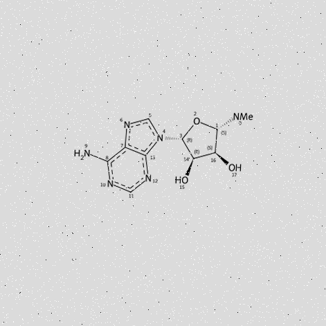 CN[C@H]1O[C@@H](n2cnc3c(N)ncnc32)[C@H](O)[C@@H]1O